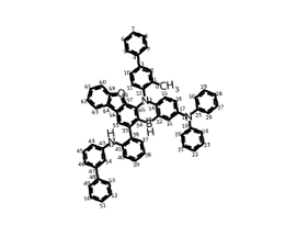 Cc1cc(-c2ccccc2)ccc1N1c2ccc(N(c3ccccc3)c3ccccc3)cc2Bc2c(-c3ccccc3Nc3cccc(-c4ccccc4)c3)cc3c(oc4ccccc43)c21